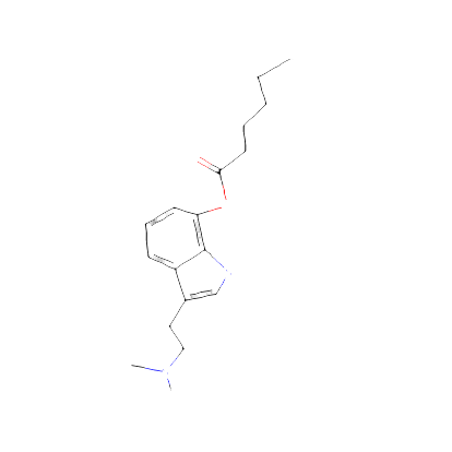 CCN(C)CCc1c[nH]c2c(OC(=O)CCCCC(=O)O)cccc12